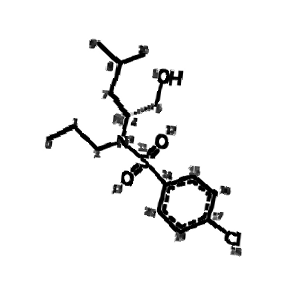 CCCN([C@@H](CO)CC(C)C)S(=O)(=O)c1ccc(Cl)cc1